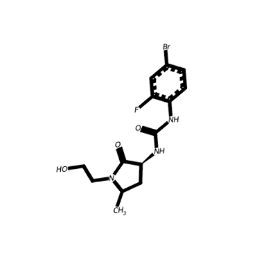 CC1C[C@H](NC(=O)Nc2ccc(Br)cc2F)C(=O)N1CCO